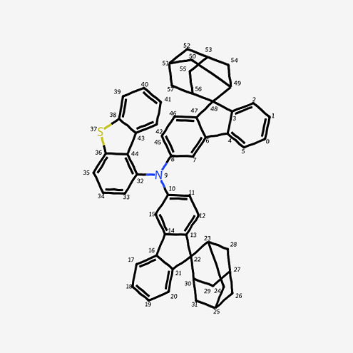 c1ccc2c(c1)-c1cc(N(c3ccc4c(c3)-c3ccccc3C43C4CC5CC(C4)CC3C5)c3cccc4sc5ccccc5c34)ccc1C21C2CC3CC(C2)CC1C3